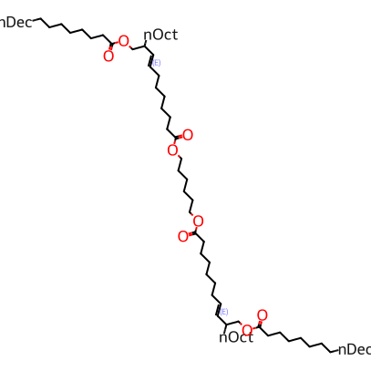 CCCCCCCCCCCCCCCCCC(=O)OCC(/C=C/CCCCCCC(=O)OCCCCCCOC(=O)CCCCCC/C=C/C(CCCCCCCC)COC(=O)CCCCCCCCCCCCCCCCC)CCCCCCCC